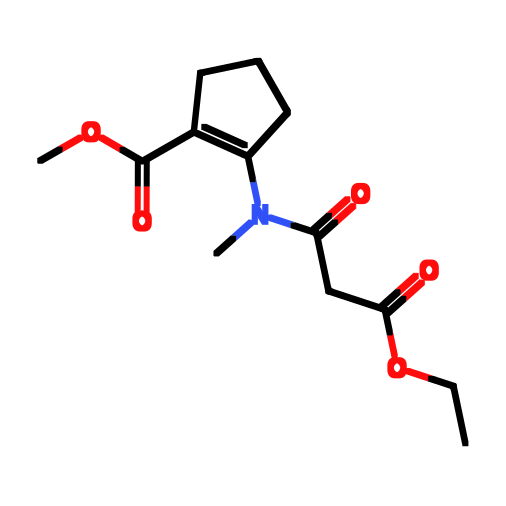 CCOC(=O)CC(=O)N(C)C1=C(C(=O)OC)CCC1